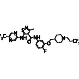 Cc1nsc(Nc2cnc(C(F)(F)F)cn2)c1C(=O)Nc1ccc(F)c(OCC2CCN(CCC(F)(F)F)CC2)c1